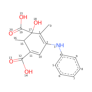 CC1=C(Nc2ccccc2)C=C(C(=O)O)C(C)C1(O)C(=O)O